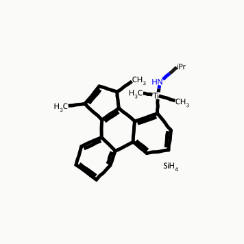 CC1=CC(C)c2c1c1ccccc1c1ccc[c]([Ti]([CH3])([CH3])[NH]C(C)C)c21.[SiH4]